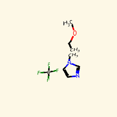 CCOC.Cn1ccnc1.F[B-](F)(F)F